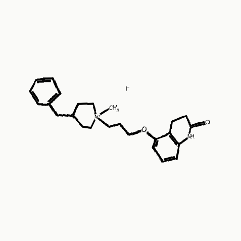 C[N+]1(CCCOc2cccc3c2CCC(=O)N3)CCC(Cc2ccccc2)CC1.[I-]